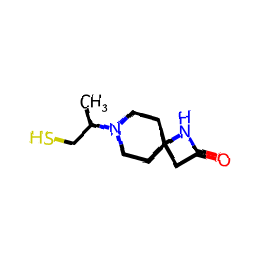 CC(CS)N1CCC2(CC1)CC(=O)N2